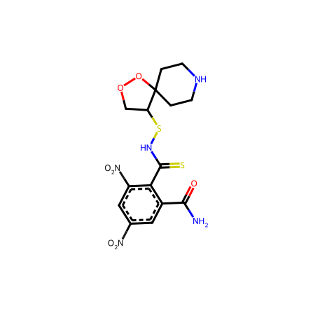 NC(=O)c1cc([N+](=O)[O-])cc([N+](=O)[O-])c1C(=S)NSC1COOC12CCNCC2